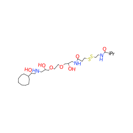 CC(C)C(=O)NCCSSCCC(=O)NCC(O)COCCOCC(O)CNCC(O)C1CCCCCCCC1